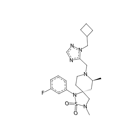 C[C@H]1C[C@]2(CCN1Cc1ncnn1CC1CCC1)CN(C)S(=O)(=O)N2c1cccc(F)c1